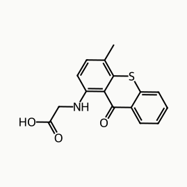 Cc1ccc(NCC(=O)O)c2c(=O)c3ccccc3sc12